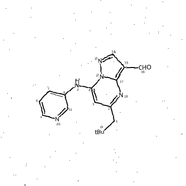 CC(C)(C)Cc1cc(Nc2cccnc2)n2ncc(C=O)c2n1